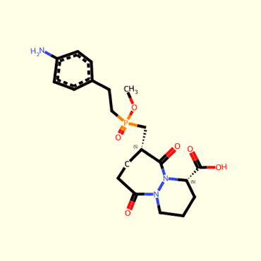 COP(=O)(CCc1ccc(N)cc1)C[C@H]1CCC(=O)N2CCC[C@@H](C(=O)O)N2C1=O